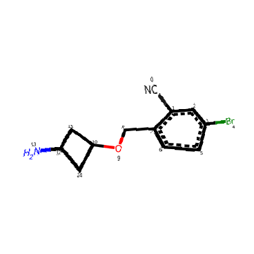 N#Cc1cc(Br)ccc1COC1CC(N)C1